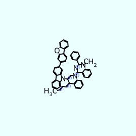 C=N\C(=N/C(=N\C=C(/C(=C\C=C\C)c1ccccc1)n1c2ccccc2c2ccc(-c3ccc4c(c3)oc3ccccc34)cc21)c1ccccc1)c1ccccc1